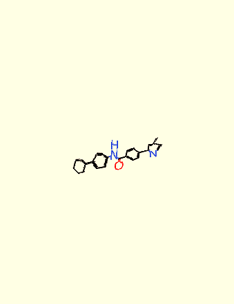 Cc1ccnc(-c2ccc(C(=O)Nc3ccc(C4CCCCC4)cc3)cc2)c1